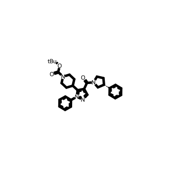 CC(C)(C)OC(=O)N1CCC(c2c(C(=O)N3CC[C@H](c4ccccc4)C3)cnn2-c2ccccc2)CC1